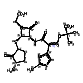 CC(C)(O/N=C(\C(=O)N[C@@H]1C(=O)N(CC(=O)O)[C@@H]1SN1CC[C@H](N)C1=O)c1csc(N)n1)C(=O)O